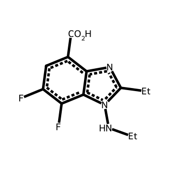 CCNn1c(CC)nc2c(C(=O)O)cc(F)c(F)c21